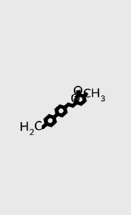 C=CC1CCC(C2CCC(CCC3CCC(C)C(=O)O3)CC2)CC1